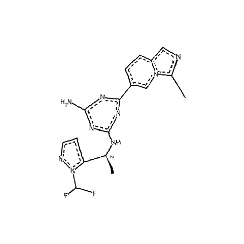 Cc1ncc2ccc(-c3nc(N)nc(N[C@@H](C)c4ccnn4C(F)F)n3)cn12